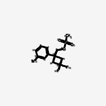 CS(=O)(=O)OCC1(c2cccc(Br)c2)CC(F)(F)C1